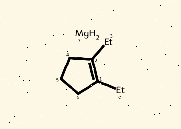 CCC1=C(CC)CCC1.[MgH2]